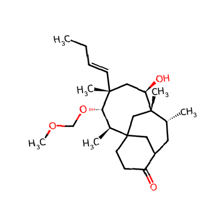 CC/C=C/[C@]1(C)C[C@@H](O)[C@@]2(C)CC3(CCC(=O)C(C[C@H]2C)C3)[C@@H](C)[C@@H]1OCOC